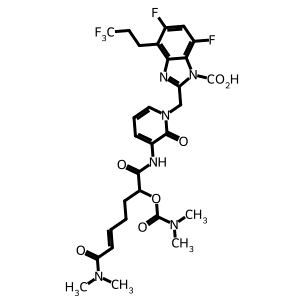 CN(C)C(=O)C=CCCC(OC(=O)N(C)C)C(=O)Nc1cccn(Cc2nc3c(CCC(F)(F)F)c(F)cc(F)c3n2C(=O)O)c1=O